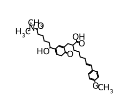 COc1ccc(/C=C/CCCCC(CC2=CC(C(O)CCCCC(=O)N(C)C)=CCC2=O)C(=O)O)cc1